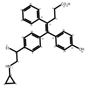 CCC(CNC1CC1)c1ccc(/C(=C(/CCC(=O)O)c2ccccc2)c2ccc(O)cc2)cc1